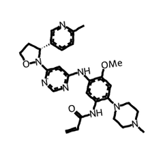 C=CC(=O)Nc1cc(Nc2cc(N3OCC[C@@H]3c3ccc(C)nc3)ncn2)c(OC)cc1N1CCN(C)CC1